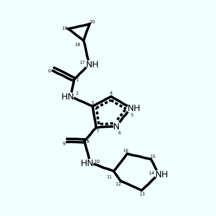 C=C(Nc1c[nH]nc1C(=C)NC1CCNCC1)NC1CC1